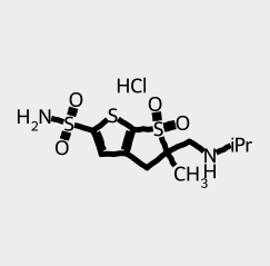 CC(C)NCC1(C)Cc2cc(S(N)(=O)=O)sc2S1(=O)=O.Cl